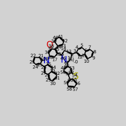 C[C@H]1C(c2ccc3ccccc3c2)=CCC(c2cc(-n3c4ccccc4c4cc5ccccc5cc43)cc3oc4ccccc4c23)=NC1c1ccc2c(c1)sc1ccccc12